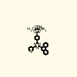 CC1(C)OB(c2ccc(-c3nc(-c4cccnc4)nc(-c4cc5ccccc5c5ccccc45)n3)cc2)OC1(C)C